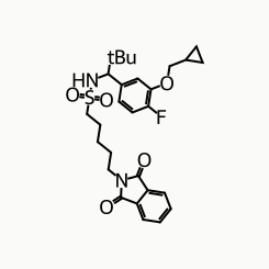 CC(C)(C)C(NS(=O)(=O)CCCCCN1C(=O)c2ccccc2C1=O)c1ccc(F)c(OCC2CC2)c1